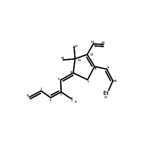 C=C/C=C(I)\C=C1/CC(/C=C\CC)=C(C=C)C1(C)C